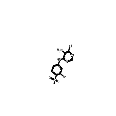 CS(=O)(=O)c1ccc(Nc2ncnc(Cl)c2N)cc1Br